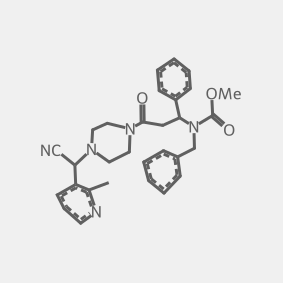 COC(=O)N(Cc1ccccc1)C(CC(=O)N1CCN(C(C#N)c2cccnc2C)CC1)c1ccccc1